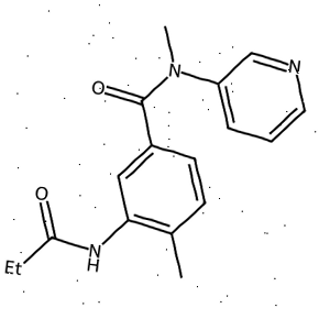 CCC(=O)Nc1cc(C(=O)N(C)c2cccnc2)ccc1C